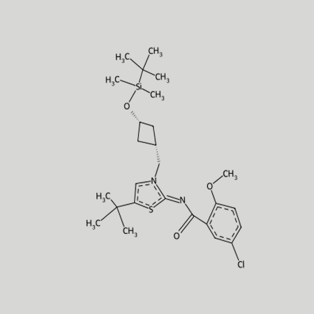 COc1ccc(Cl)cc1C(=O)/N=c1\sc(C(C)(C)C)cn1C[C@H]1C[C@@H](O[Si](C)(C)C(C)(C)C)C1